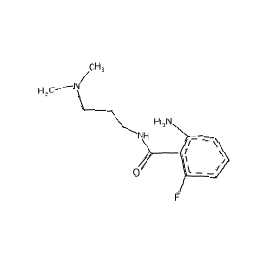 CN(C)CCCNC(=O)c1c(N)cccc1F